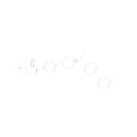 CC(c1ccc(-c2cccc(O)c2)cc1)N1CCN(c2ccc(C(=O)NS(=O)(=O)C(C)(C)C)cc2)CC1